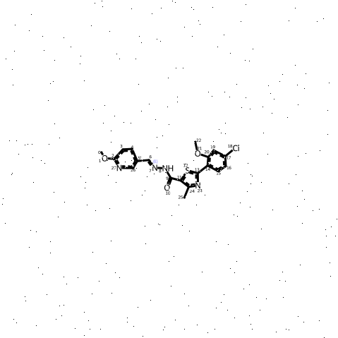 COc1ccc(/C=N/NC(=O)c2sc(-c3ccc(Cl)cc3OC)nc2C)cn1